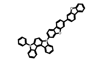 c1ccc(-n2c3ccccc3c3c4c5ccccc5n(-c5ccc6c(c5)oc5cc(-c7ccc8c(c7)oc7ccccc78)ccc56)c4ccc32)cc1